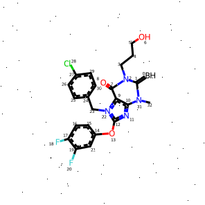 B=C1N(CCCO)C(=O)c2c(nc(Oc3ccc(F)c(F)c3)n2Cc2ccc(Cl)cc2)N1C